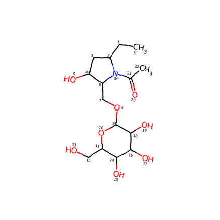 CCC1CC(O)C(COC2OC(CO)C(O)C(O)C2O)N1C(C)=O